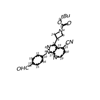 CC(C)(C)OC(=O)N1CC(c2nn(-c3ccc(C=O)cc3)c3nccc(C#N)c23)C1